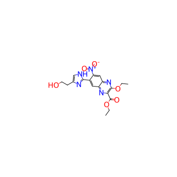 CCOC(=O)c1nc2cc(-c3nc(CCO)c[nH]3)c([N+](=O)[O-])cc2nc1OCC